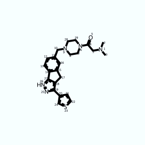 CN(C)CC(=O)N1CCN(Cc2ccc3c(c2)Cc2c(-c4ccsc4)n[nH]c2-3)CC1